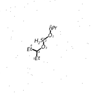 CCCO[SiH2]OC(CC)CC